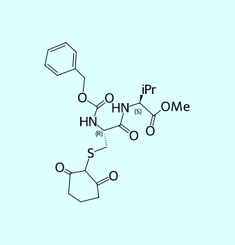 COC(=O)[C@@H](NC(=O)[C@H](CSC1C(=O)CCCC1=O)NC(=O)OCc1ccccc1)C(C)C